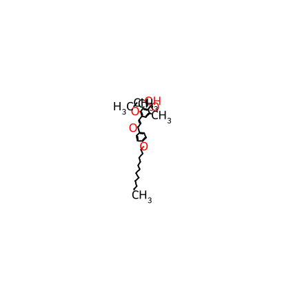 CCCCCCCCCCCCOc1ccc(C(=O)/C=C/c2cc(C)c(C(=O)O)c(C)c2OC(C)C)cc1